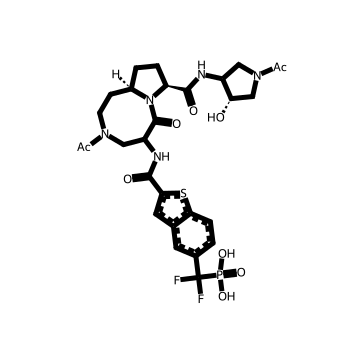 CC(=O)N1CC[C@H]2CC[C@@H](C(=O)NC3CN(C(C)=O)C[C@@H]3O)N2C(=O)C(NC(=O)c2cc3cc(C(F)(F)P(=O)(O)O)ccc3s2)C1